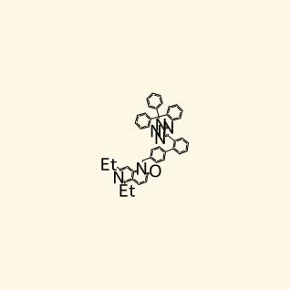 CCc1cc2c(ccc(=O)n2Cc2ccc(-c3ccccc3-c3nnn(C(c4ccccc4)(c4ccccc4)c4ccccc4)n3)cc2)c(CC)n1